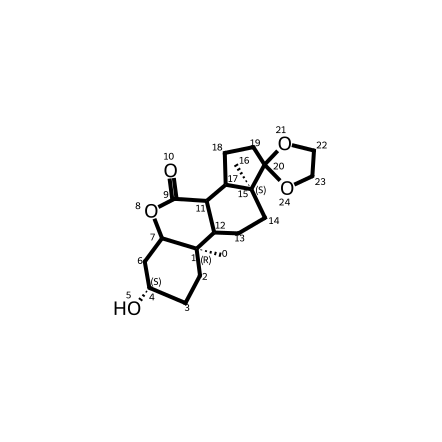 C[C@]12CC[C@H](O)CC1OC(=O)C1C2CC[C@@]2(C)C1CCC21OCCO1